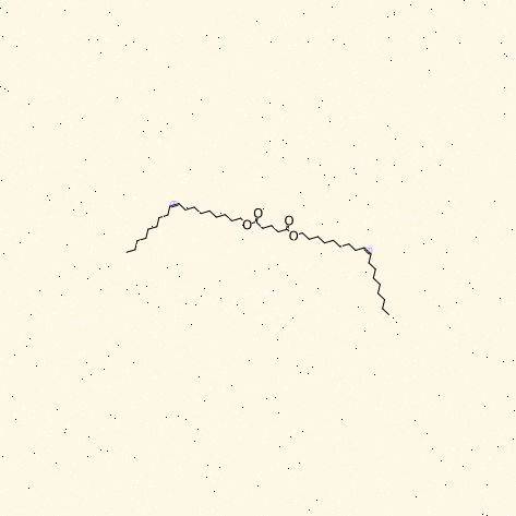 CCCCCCCC/C=C\CCCCCCCCOC(=O)CCCC(=O)OCCCCCCCC/C=C\CCCCCCCC